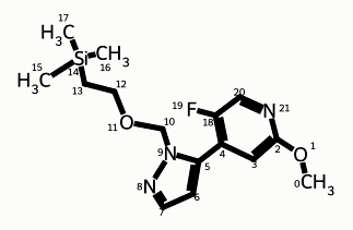 COc1cc(-c2ccnn2COCC[Si](C)(C)C)c(F)cn1